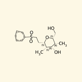 C[C@@H]1[C@H](O)[C@H](C)[C@H](CCS(=O)(=O)c2ccccc2)O[C@@H]1CO